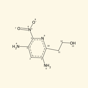 Nc1cc(N)c([N+](=O)[O-])nc1CCO